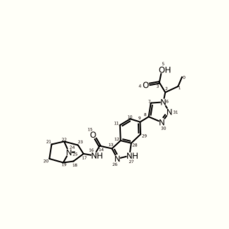 CCC(C(=O)O)n1cc(-c2ccc3c(C(=O)NC4CC5CCC(C4)N5C)n[nH]c3c2)nn1